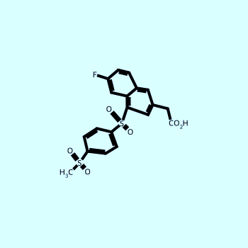 CS(=O)(=O)c1ccc(S(=O)(=O)c2cc(CC(=O)O)cc3ccc(F)cc23)cc1